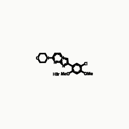 Br.COc1cc(OC)c(-c2cn3ccc(N4CCOCC4)nc3n2)cc1Cl